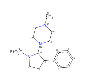 CCOC(=O)N1CCC(c2ccccc2)C1N1CCN(C)CC1